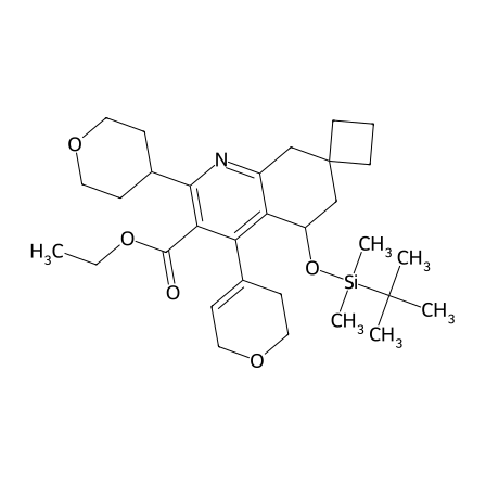 CCOC(=O)c1c(C2CCOCC2)nc2c(c1C1=CCOCC1)C(O[Si](C)(C)C(C)(C)C)CC1(CCC1)C2